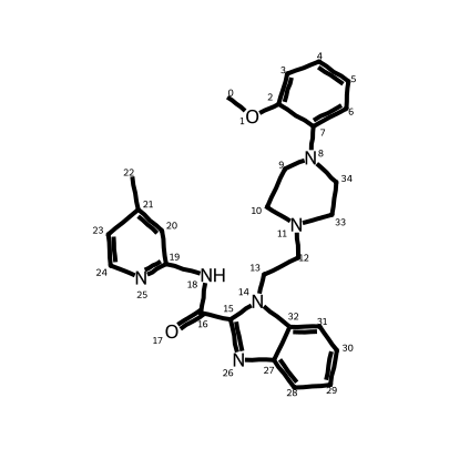 COc1ccccc1N1CCN(CCn2c(C(=O)Nc3cc(C)ccn3)nc3ccccc32)CC1